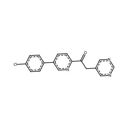 O=C(Cc1cncnc1)c1ccc(-c2ccc(Cl)cc2)cn1